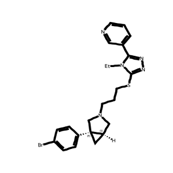 CCn1c(SCCCN2C[C@H]3C[C@@]3(c3ccc(Br)cc3)C2)nnc1-c1cccnc1